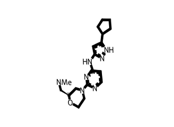 CNC[C@H]1CN(c2nccc(Nc3cc(C4CCCC4)[nH]n3)n2)CCO1